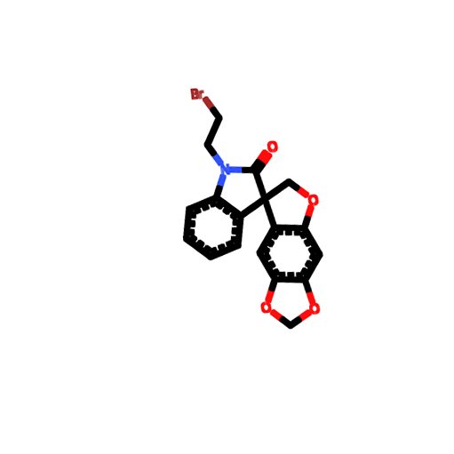 O=C1N(CCBr)c2ccccc2C12COc1cc3c(cc12)OCO3